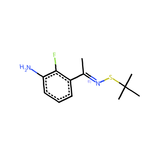 C/C(=N\SC(C)(C)C)c1cccc(N)c1F